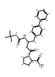 CC(C)(C)OC(=O)NC(CC(=O)N1CCCC1C(=O)O)Cc1ccc(-c2ccccc2)cc1